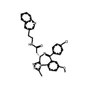 COc1ccc2c(c1)C(c1ccc(Cl)cc1)=N[C@@H](CC(=O)NCCc1cnc3ccccc3c1)c1nnc(C)n1-2